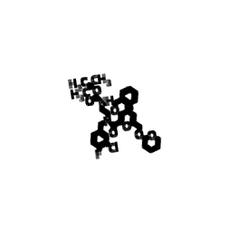 CC(C)(C)OC(=O)NCCN(Cc1ccc(F)c(Cl)c1)C(=O)c1oc(COC2CCCCO2)cc(=O)c1OCc1ccccc1